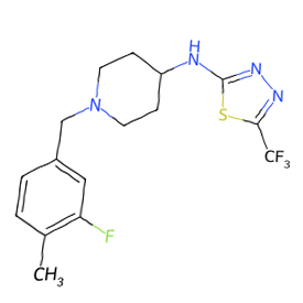 Cc1ccc(CN2CCC(Nc3nnc(C(F)(F)F)s3)CC2)cc1F